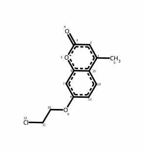 Cc1cc(=O)oc2cc(OCCCl)ccc12